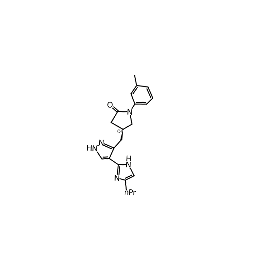 CCCc1c[nH]c(-c2c[nH]nc2C[C@H]2CC(=O)N(c3cccc(C)c3)C2)n1